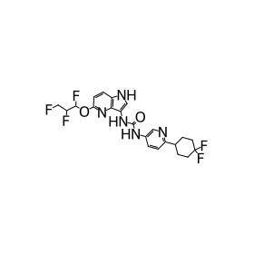 O=C(Nc1ccc(C2CCC(F)(F)CC2)nc1)Nc1c[nH]c2ccc(OC(F)C(F)CF)nc12